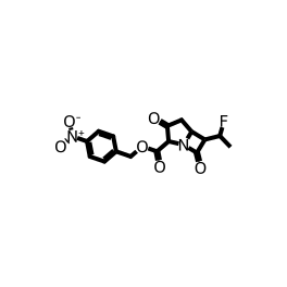 CC(F)C1C(=O)N2C(C(=O)OCc3ccc([N+](=O)[O-])cc3)C(=O)CC12